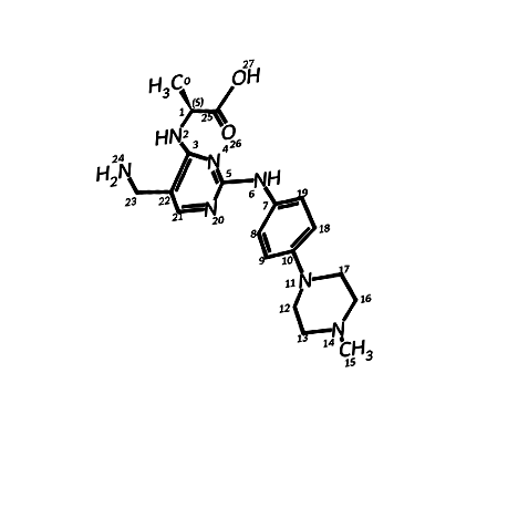 C[C@H](Nc1nc(Nc2ccc(N3CCN(C)CC3)cc2)ncc1CN)C(=O)O